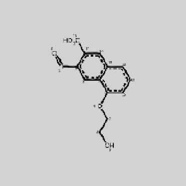 O=Ic1cc2c(OCCO)cccc2cc1C(=O)O